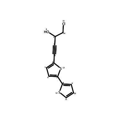 OC(C#Cc1ccc(-c2cccs2)s1)CCl